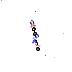 CN1CCN(S(=O)(=O)c2ccc(-c3ccc4c(Nc5cc(CC(=O)Nc6cccc(F)c6)[nH]n5)ncnc4c3)cc2)CC1